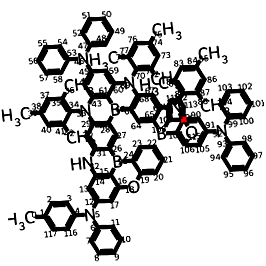 Cc1ccc(N(c2ccccc2)c2cc3c4c(c2)Oc2ccccc2B4c2cc4c(cc2N3)N(c2c(C)cc(C)cc2C)c2cc(N(c3ccccc3)c3ccccc3)cc3c2B4c2cc4c(cc2N3c2c(C)cc(C)cc2C)N(c2c(C)cc(C)cc2C)c2cc(N(c3ccccc3)c3ccccc3)cc3c2B4c2ccccc2O3)cc1